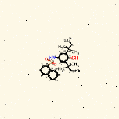 CC(C)(C)CC(C)(C)c1cc(NS(=O)(=O)c2cccc3ccccc23)cc(C(C)(C)CC(C)(C)C)c1O